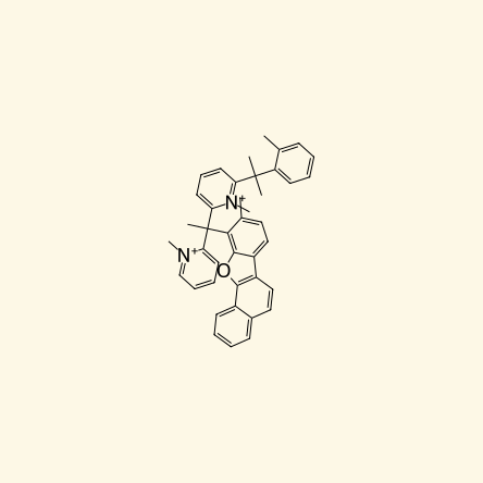 Cc1ccccc1C(C)(C)c1cccc(C(C)(c2c(C)ccc3c2oc2c4ccccc4ccc32)c2cccc[n+]2C)[n+]1C